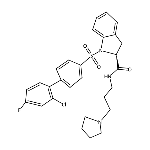 O=C(NCCCN1CCCC1)[C@@H]1Cc2ccccc2N1S(=O)(=O)c1ccc(-c2ccc(F)cc2Cl)cc1